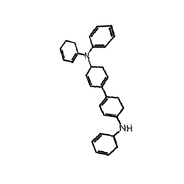 C1=CCCC(N(c2ccccc2)C2C=CC(C3=CC=C(NC4C=CC=CC4)CC3)=CC2)=C1